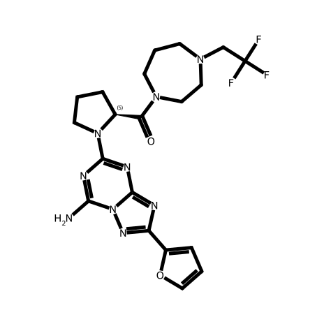 Nc1nc(N2CCC[C@H]2C(=O)N2CCCN(CC(F)(F)F)CC2)nc2nc(-c3ccco3)nn12